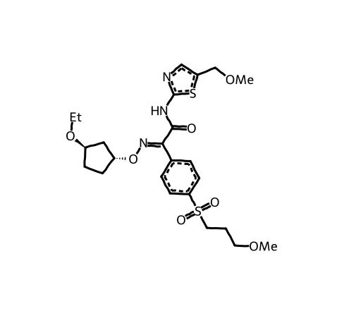 CCO[C@@H]1CC[C@@H](O/N=C(/C(=O)Nc2ncc(COC)s2)c2ccc(S(=O)(=O)CCCOC)cc2)C1